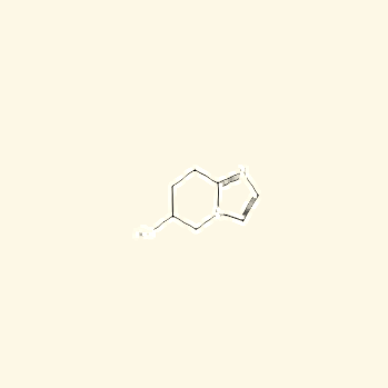 CCCCC1CCc2nccn2C1